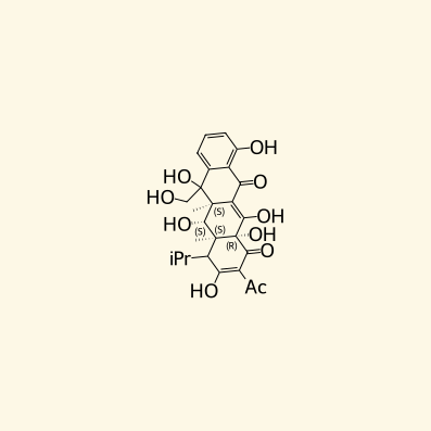 CC(=O)C1=C(O)C(C(C)C)[C@@]2(C)[C@H](O)[C@]3(C)C(=C(O)[C@@]2(O)C1=O)C(=O)c1c(O)cccc1C3(O)CO